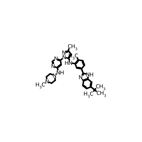 Cc1cc(Nc2cc(-c3nc4ccc(C(C)(C)C)cc4[nH]3)ccc2C)n(-c2cc(NN3CCN(C)CC3)ncn2)n1